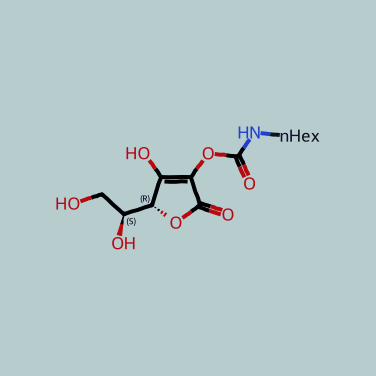 CCCCCCNC(=O)OC1=C(O)[C@@H]([C@@H](O)CO)OC1=O